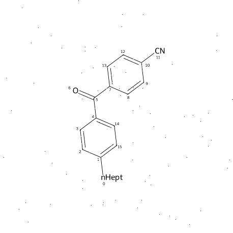 CCCCCCCc1ccc(C(=O)c2ccc(C#N)cc2)cc1